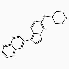 c1cnc2ncc(-c3ccn4nc(NC5CCOCC5)ncc34)cc2n1